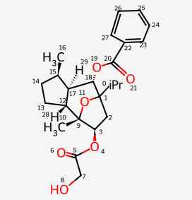 CC(C)C12C[C@@H](OC(=O)CO)[C@@](C)(O1)[C@@H]1CC[C@@H](C)[C@H]1[C@@H]2OC(=O)c1ccccc1